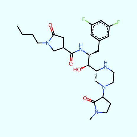 CCCCN1CC(C(=O)N[C@@H](Cc2cc(F)cc(F)c2)[C@H](O)[C@H]2CN(C3CCN(C)C3=O)CCN2)CC1=O